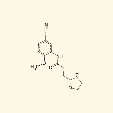 COc1ccc(C#N)cc1NC(=O)CCC1NCCO1